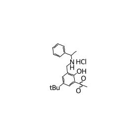 CC(NCc1cc(C(C)(C)C)cc(S(C)(=O)=O)c1O)c1ccccc1.Cl